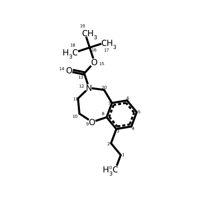 CCCc1cccc2c1OCCN(C(=O)OC(C)(C)C)C2